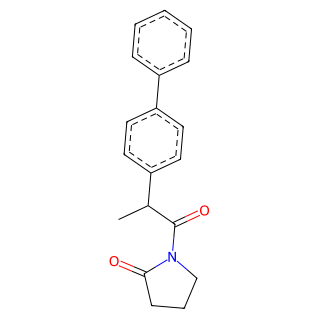 CC(C(=O)N1CCCC1=O)c1ccc(-c2ccccc2)cc1